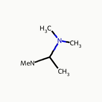 CNC(C)N(C)C